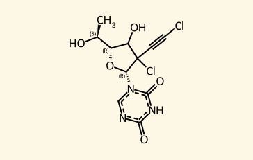 C[C@H](O)[C@H]1O[C@@H](n2cnc(=O)[nH]c2=O)C(Cl)(C#CCl)C1O